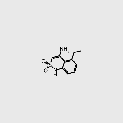 CCc1cccc2c1C(N)=CS(=O)(=O)N2